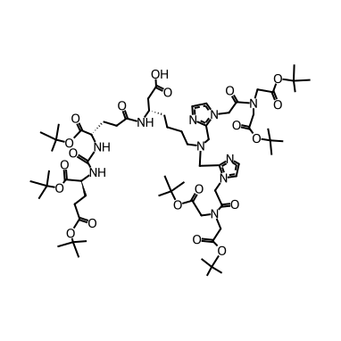 CC(C)(C)OC(=O)CC[C@H](NC(=O)N[C@@H](CCC(=O)N[C@@H](CCCCN(Cc1nccn1CC(=O)N(CC(=O)OC(C)(C)C)CC(=O)OC(C)(C)C)Cc1nccn1CC(=O)N(CC(=O)OC(C)(C)C)CC(=O)OC(C)(C)C)CC(=O)O)C(=O)OC(C)(C)C)C(=O)OC(C)(C)C